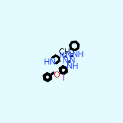 CN(c1nc(Nc2ccc(OCc3ccccc3)c(I)c2)nc(NC2CCCCCC2)n1)C1CCNCC1